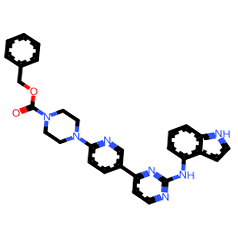 O=C(OCc1ccccc1)N1CCN(c2ccc(-c3ccnc(Nc4cccc5[nH]ccc45)n3)cn2)CC1